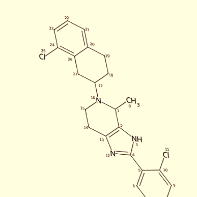 CC1c2[nH]c(-c3ccccc3Cl)nc2CCN1C1CCc2cccc(Cl)c2C1